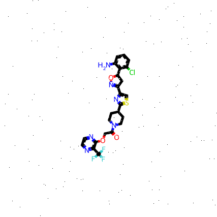 Nc1cccc(Cl)c1C1CC(c2csc(C3CCN(C(=O)COc4nccnc4C(F)(F)F)CC3)n2)=NO1